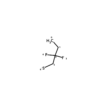 CCC(F)(F)C[S]